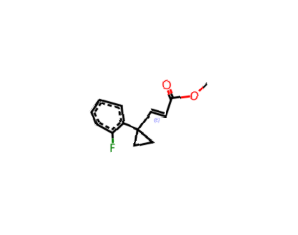 COC(=O)/C=C/C1(c2ccccc2F)CC1